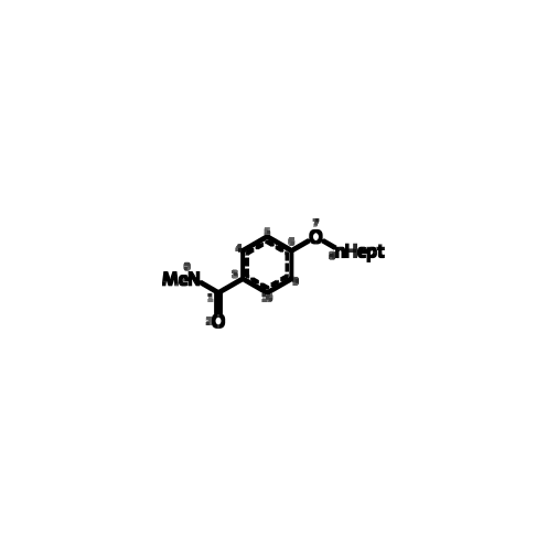 [CH2-][NH2+]C(=O)c1ccc(OCCCCCCC)cc1